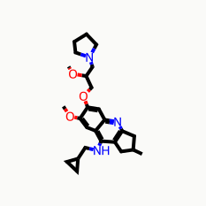 COc1cc2c(NCC3CC3)c3c(nc2cc1OCC(CN1CCCC1)OC)CC(C)C3